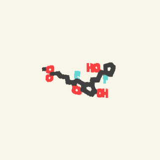 COC(=O)CCC/C=C1/OC2CC(O)C(/C=C/C(O)C3(F)CCCC3)C2C1F